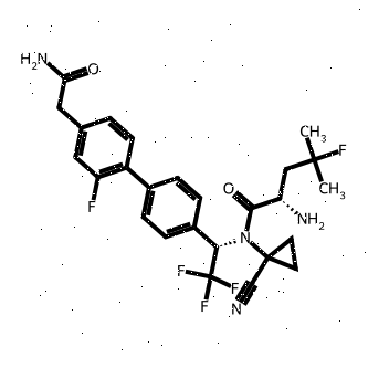 CC(C)(F)C[C@H](N)C(=O)N([C@@H](c1ccc(-c2ccc(CC(N)=O)cc2F)cc1)C(F)(F)F)C1(C#N)CC1